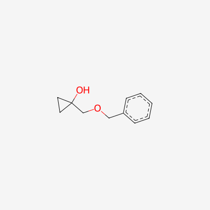 OC1(COCc2ccccc2)CC1